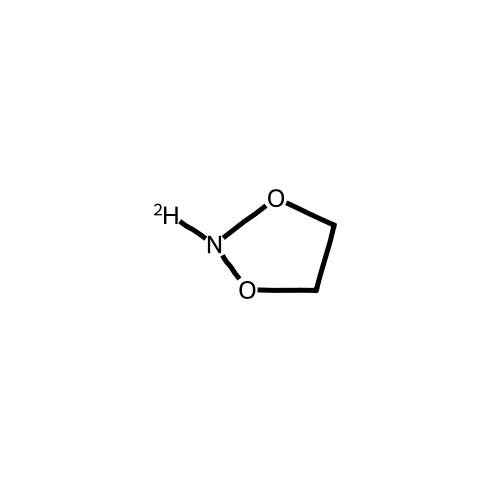 [2H]N1OCCO1